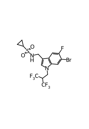 O=S(=O)(NCc1cn(CC(C(F)(F)F)C(F)(F)F)c2cc(Br)c(F)cc12)C1CC1